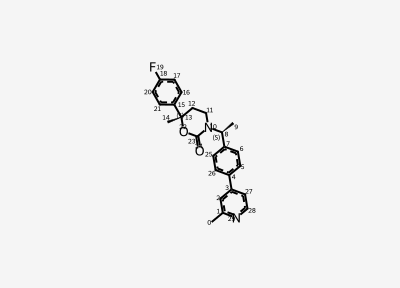 Cc1cc(-c2ccc([C@H](C)N3CC[C@@](C)(c4ccc(F)cc4)OC3=O)cc2)ccn1